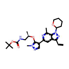 C=Cc1nn(C2CCCCO2)c2c(C)nc(-c3cnn(C)c3O[C@H](C)CNC(=O)OC(C)(C)C)cc12